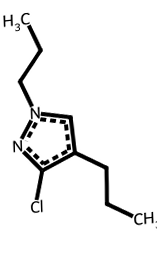 CCCc1cn(CCC)nc1Cl